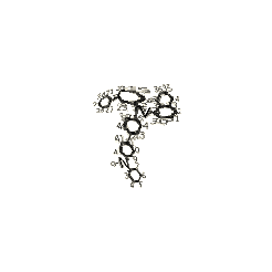 CN(c1ccccc1)c1ccc(-c2ccc(N(c3cccc(-c4ccccc4)c3)c3cccc4ccccc34)cc2)cc1